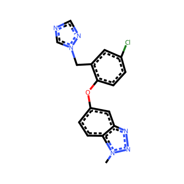 Cn1nnc2cc(Oc3ccc(Cl)cc3Cn3cncn3)ccc21